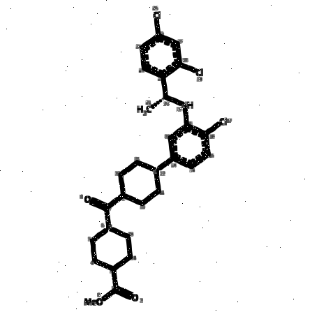 COC(=O)C1CCN(C(=O)C2CCN(c3ccc(Cl)c(N[C@H](C)c4ccc(Cl)cc4Cl)c3)CC2)CC1